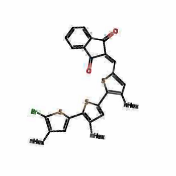 CCCCCCc1cc(-c2sc(-c3sc(C=C4C(=O)c5ccccc5C4=O)cc3CCCCCC)cc2CCCCCC)sc1Br